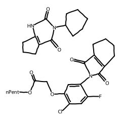 CCCCCOC(=O)COc1cc(N2C(=O)C3=C(CCCC3)C2=O)c(F)cc1Cl.O=c1[nH]c2c(c(=O)n1C1CCCCC1)CCC2